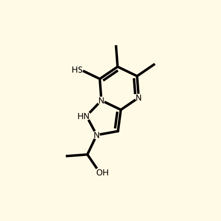 CC1=NC2=CN(C(C)O)NN2C(S)=C1C